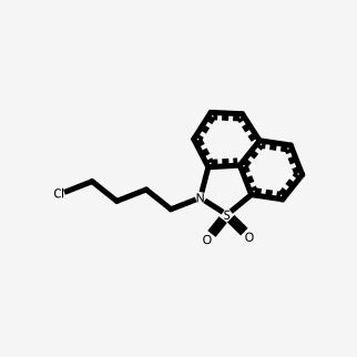 O=S1(=O)c2cccc3cccc(c23)N1CCCCCl